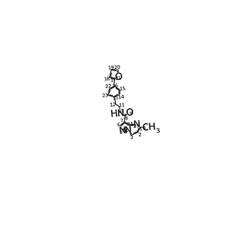 Cc1ccn2ncc(C(=O)NCCc3ccc(-c4ccco4)cc3)c2n1